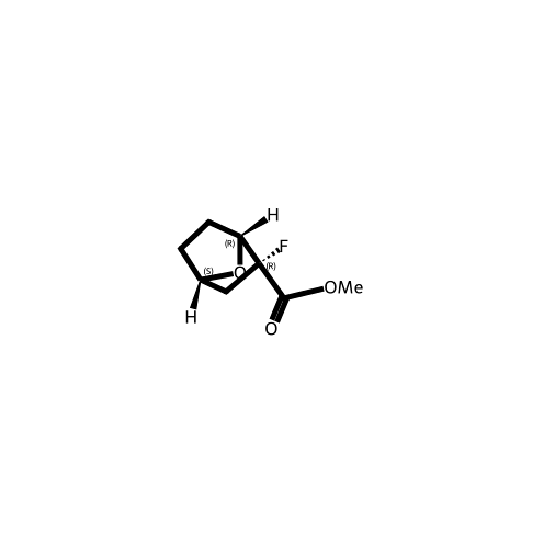 COC(=O)[C@@]1(F)C[C@@H]2CC[C@H]1O2